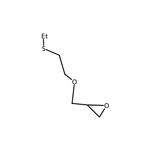 [CH2]CSCCOCC1CO1